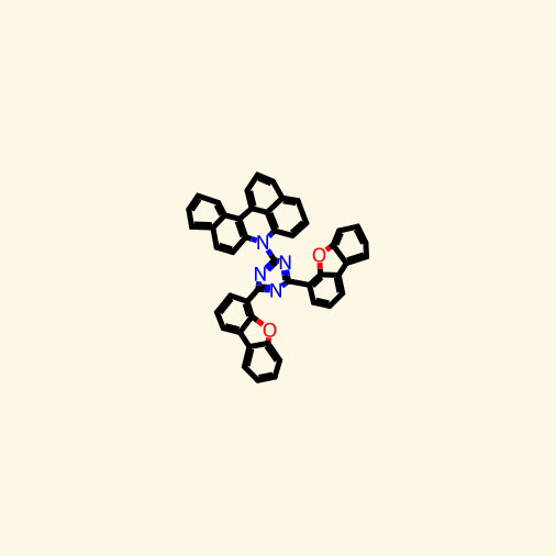 c1ccc2c3c(ccc2c1)N(c1nc(-c2cccc4c2oc2ccccc24)nc(-c2cccc4c2oc2ccccc24)n1)c1cccc2cccc-3c12